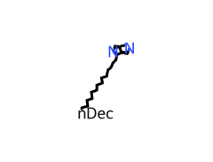 CCCCCCCCCCCCCCCCCCCCCCCCC1=NC=C2C=NC=C21